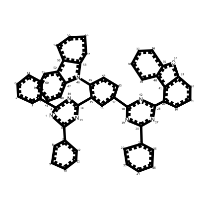 c1ccc(-c2nc(-c3ccccc3)nc(-c3cc(-c4nc(-c5ccccc5)nc(-c5cccc6oc7ccccc7c56)n4)ccc3-n3c4ccccc4c4ccccc43)n2)cc1